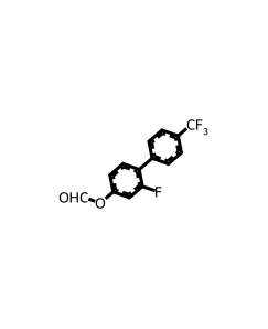 O=COc1ccc(-c2ccc(C(F)(F)F)cc2)c(F)c1